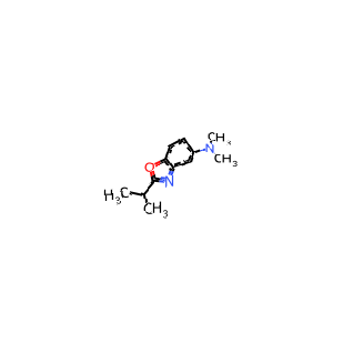 CC(C)c1nc2cc(N(C)C)ccc2o1